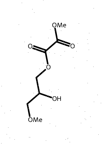 COCC(O)COC(=O)C(=O)OC